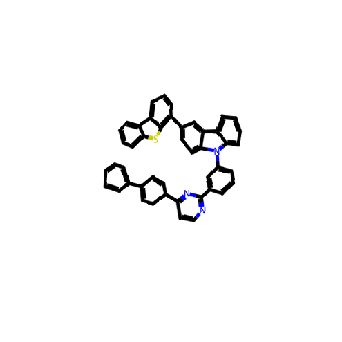 C1=CC(c2ccnc(-c3cccc(-n4c5ccccc5c5cc(-c6cccc7c6sc6ccccc67)ccc54)c3)n2)CC=C1c1ccccc1